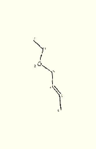 C[CH]OCC=CC